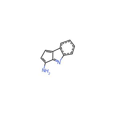 NC1=CC=C2C1=Nc1ccccc12